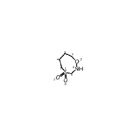 O=S1(=O)CCCCONC1